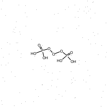 O=P(O)(O)OOOP(=O)(O)O